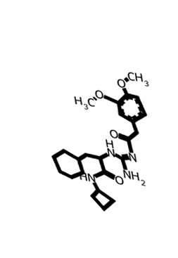 COc1ccc(CC(=O)N=C(N)NC(CC2CCCCC2)C(=O)NC2CCC2)cc1OC